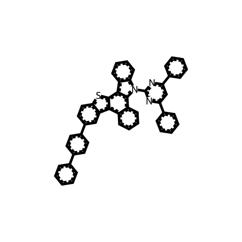 c1ccc(-c2ccc(-c3ccc4sc5c(c4c3)c3ccccc3c3c5c4ccccc4n3-c3nc(-c4ccccc4)cc(-c4ccccc4)n3)cc2)cc1